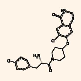 N[C@@H](Cc1ccc(Cl)cc1)C(=O)N1CCC(Oc2cc3cc[nH]c(=O)c3cc2Cl)CC1